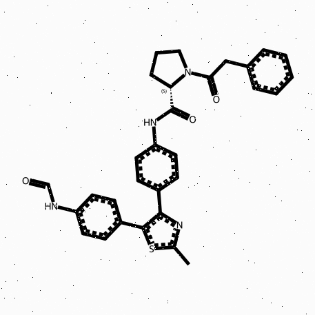 Cc1nc(-c2ccc(NC(=O)[C@@H]3CCCN3C(=O)Cc3ccccc3)cc2)c(-c2ccc(NC=O)cc2)s1